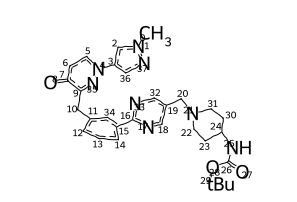 Cn1cc(-n2ccc(=O)c(Cc3cccc(-c4ncc(CN5CCC(NC(=O)OC(C)(C)C)CC5)cn4)c3)n2)cn1